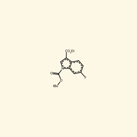 CCOC(=O)c1cn(C(=O)OC(C)(C)C)c2cc(F)ccc12